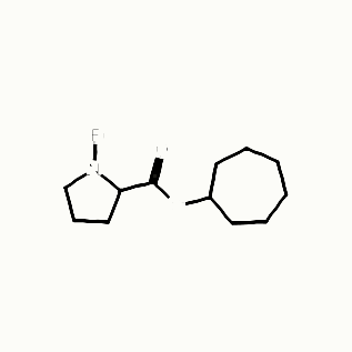 CCN1CCCC1C(=O)OC1CCCCCC1